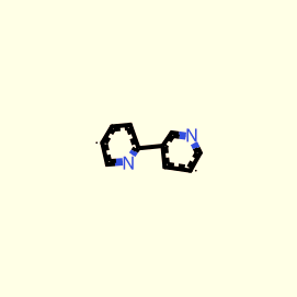 [c]1ccc(-c2c[c]cnc2)nc1